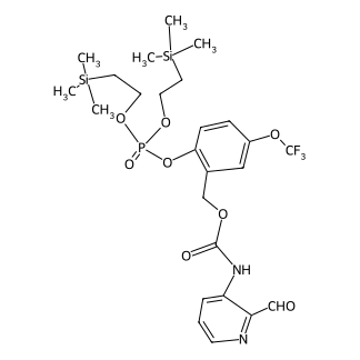 C[Si](C)(C)CCOP(=O)(OCC[Si](C)(C)C)Oc1ccc(OC(F)(F)F)cc1COC(=O)Nc1cccnc1C=O